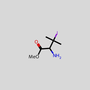 COC(=O)C(N)C(C)(C)I